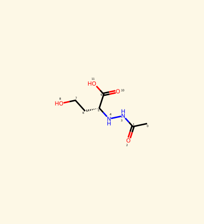 CC(=O)NN[C@H](CCO)C(=O)O